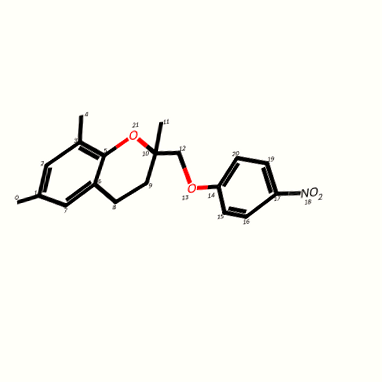 Cc1cc(C)c2c(c1)CCC(C)(COc1ccc([N+](=O)[O-])cc1)O2